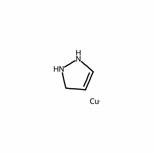 C1=CNNC1.[Cu]